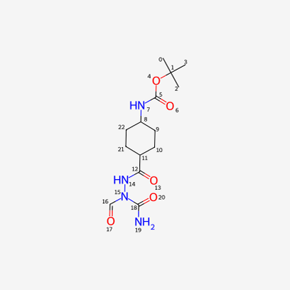 CC(C)(C)OC(=O)NC1CCC(C(=O)NN(C=O)C(N)=O)CC1